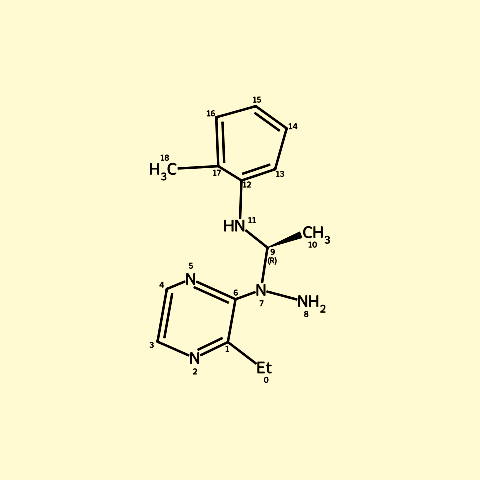 CCc1nccnc1N(N)[C@H](C)Nc1ccccc1C